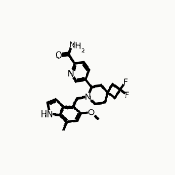 COc1cc(C)c2[nH]ccc2c1CN1CCC2(CC1c1ccc(C(N)=O)nc1)CC(F)(F)C2